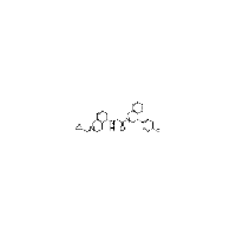 O=C(CNc1cccc2c1CCN(CC1CC1)C2)N(CCc1ccc(F)cc1)Cc1ccccc1